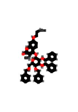 CCCCCCCCCCCCOc1ccc2c(O[C@@H]3O[C@H](COCc4ccccc4)[C@@H](OCc4ccccc4)[C@H](OCc4ccccc4)[C@H]3OCc3ccccc3)c(OC(C)=O)c(=O)oc2c1